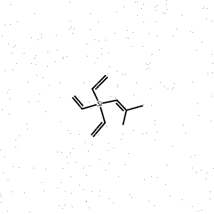 C=C[Si](C=C)(C=C)C=C(C)C